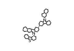 c1ccc2cc(-n3c4ccccc4c4cc(-c5ccc6c(c5)c5cc7ccccc7cc5n6-c5cccc6sc7ccccc7c56)ccc43)ccc2c1